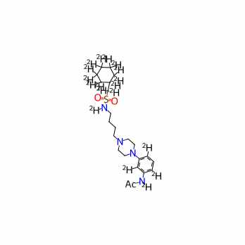 [2H]c1cc([2H])c(N([2H])C(C)=O)c([2H])c1N1CCN(CCCCN([2H])S(=O)(=O)C([2H])([2H])C2([2H])C([2H])([2H])C([2H])([2H])C([2H])([2H])C([2H])([2H])C2([2H])[2H])CC1